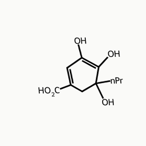 CCCC1(O)CC(C(=O)O)=CC(O)=C1O